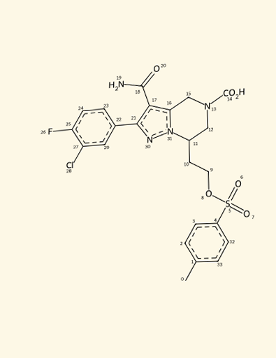 Cc1ccc(S(=O)(=O)OCCC2CN(C(=O)O)Cc3c(C(N)=O)c(-c4ccc(F)c(Cl)c4)nn32)cc1